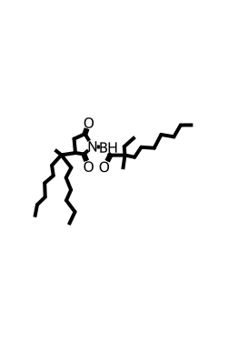 CCCCCCCC(C)(CC)C(=O)BN1C(=O)CC(C(C)(CCCCCC)CCCCCC)C1=O